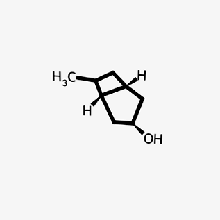 CC1C[C@@H]2C[C@@H](O)C[C@H]12